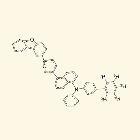 [2H]c1c([2H])c([2H])c(-c2ccc(N(c3ccccc3)c3cccc4c(-c5ccc(-c6ccc7oc8ccccc8c7c6)cc5)cccc34)cc2)c([2H])c1[2H]